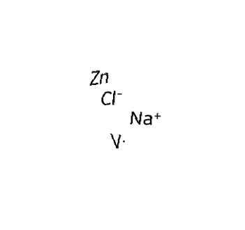 [Cl-].[Na+].[V].[Zn]